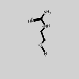 [N]OCCNC(=N)N